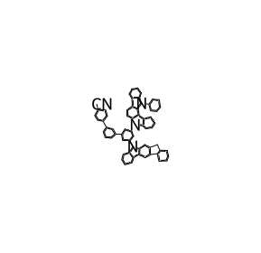 N#Cc1ccc(-c2cccc(-c3cc(-n4c5ccccc5c5cc6c(cc54)Cc4ccccc4-6)cc(-n4c5ccccc5c5c4ccc4c6ccccc6n(-c6ccccc6)c45)c3)c2)cc1